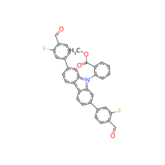 COC(=O)c1ccccc1-n1c2cc(-c3ccc(C=O)c(F)c3)ccc2c2ccc(-c3ccc(C=O)c(F)c3)cc21